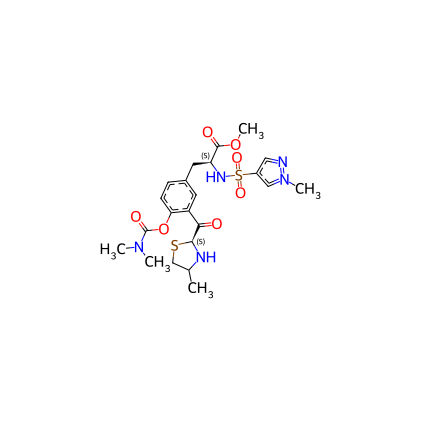 COC(=O)[C@H](Cc1ccc(OC(=O)N(C)C)c(C(=O)[C@H]2NC(C)CS2)c1)NS(=O)(=O)c1cnn(C)c1